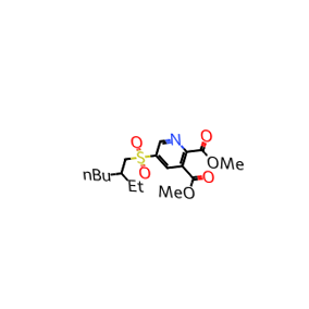 CCCCC(CC)CS(=O)(=O)c1cnc(C(=O)OC)c(C(=O)OC)c1